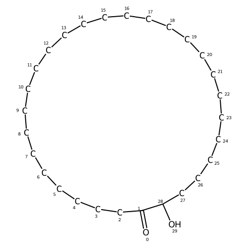 O=C1CCCCCCCCCCCCCCCCCCCCCCCCCCC1O